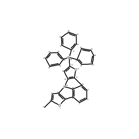 Cc1cc2c(o1)c1cccc3c4oc([Si](c5ccccc5)(c5ccccc5)c5ccccc5)cc4n2c13